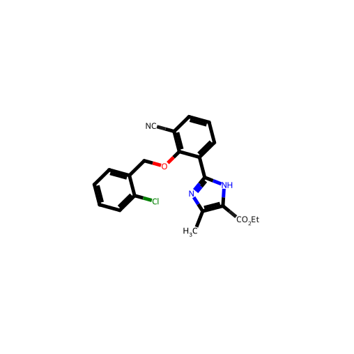 CCOC(=O)c1[nH]c(-c2cccc(C#N)c2OCc2ccccc2Cl)nc1C